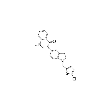 CN(C)c1ccccc1C(=O)Nc1ccc2c(c1)CCN2Cc1ccc(Cl)s1